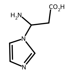 NC(CC(=O)O)n1ccnc1